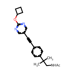 CC(=O)NCC(C)(C)c1ccc(C#Cc2cnc(OC3CCC3)nc2)cc1